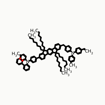 C=Cc1ccc(N(c2ccc(C)cc2)c2ccc(Cc3ccc4c(c3)C(CCCCCCCC)(CCCCCCCC)c3cc5c(cc3-4)C(CCCCCCCC)(CCCCCCCC)c3cc(-c4ccc(N(c6ccc(C)cc6)c6ccccc6-c6ccccc6)cc4)ccc3-5)cc2)cc1